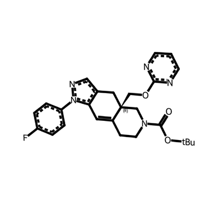 CC(C)(C)OC(=O)N1CCC2=Cc3c(cnn3-c3ccc(F)cc3)C[C@]2(COc2ncccn2)C1